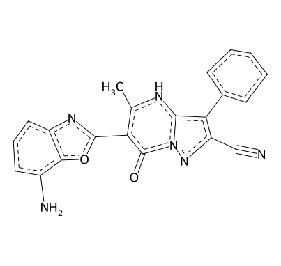 Cc1[nH]c2c(-c3ccccc3)c(C#N)nn2c(=O)c1-c1nc2cccc(N)c2o1